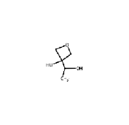 [CH2]C(O)C1(O)COC1